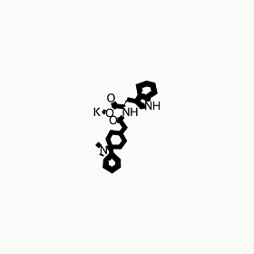 COC(=O)[C@H](Cc1c[nH]c2ccccc12)NC(=O)CC1CCC(c2ccccc2)(N(C)C)CC1.[K]